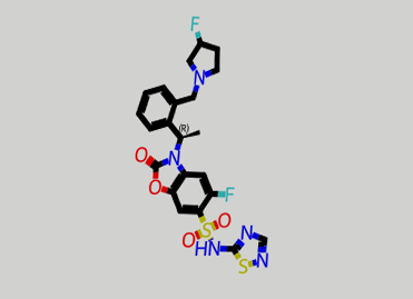 C[C@H](c1ccccc1CN1CCC(F)C1)n1c(=O)oc2cc(S(=O)(=O)Nc3ncns3)c(F)cc21